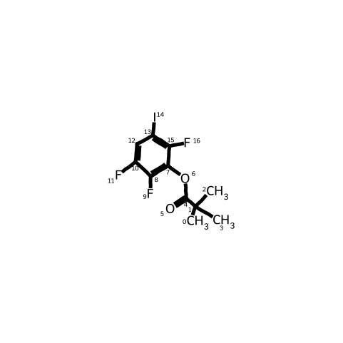 CC(C)(C)C(=O)Oc1c(F)c(F)cc(I)c1F